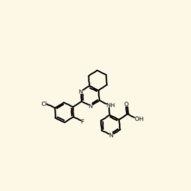 O=C(O)c1cnccc1Nc1nc(-c2cc(Cl)ccc2F)nc2c1CCCC2